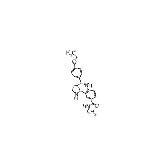 CCOc1ccc(C2Nc3ccc(C(=O)NC)cc3C3NCCC23)cc1